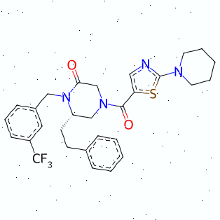 O=C(c1cnc(N2CCCCC2)s1)N1CC(=O)N(Cc2cccc(C(F)(F)F)c2)[C@@H](CCc2ccccc2)C1